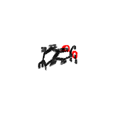 COC1(C)CCc2cc(C)ccc2O1